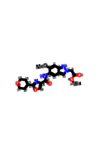 COc1cc2nn(CC(=O)OC(C)(C)C)cc2cc1NC(=O)c1coc(C2CCOCC2)n1